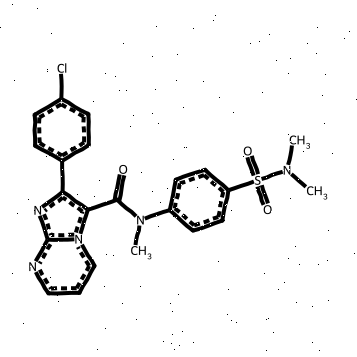 CN(C(=O)c1c(-c2ccc(Cl)cc2)nc2ncccn12)c1ccc(S(=O)(=O)N(C)C)cc1